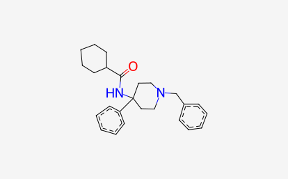 O=C(NC1(c2ccccc2)CCN(Cc2ccccc2)CC1)C1CCCCC1